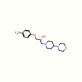 O[C@@H](COc1ccc(C(F)(F)F)cc1)CN1CCC(N2CCOCC2)CC1